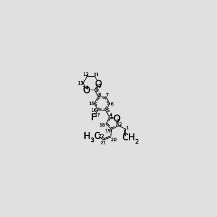 C=Cc1oc(-c2ccc(C3OCCCO3)cc2F)cc1/C=C\C